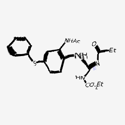 CCOC(=O)N/C(=N/C(=O)CC)Nc1ccc(Sc2ccccc2)cc1NC(C)=O